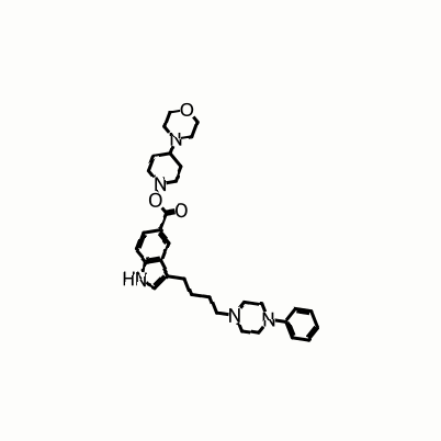 O=C(ON1CCC(N2CCOCC2)CC1)c1ccc2[nH]cc(CCCCN3CCN(c4ccccc4)CC3)c2c1